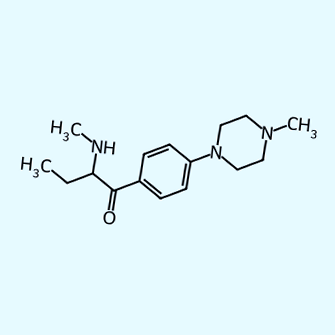 CCC(NC)C(=O)c1ccc(N2CCN(C)CC2)cc1